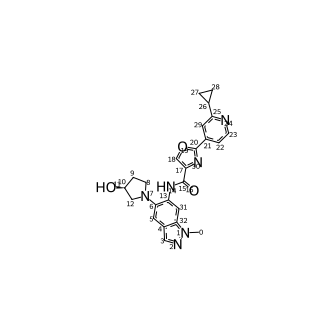 Cn1ncc2cc(N3CC[C@H](O)C3)c(NC(=O)c3coc(-c4ccnc(C5CC5)c4)n3)cc21